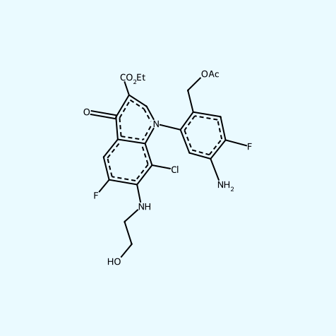 CCOC(=O)c1cn(-c2cc(N)c(F)cc2COC(C)=O)c2c(Cl)c(NCCO)c(F)cc2c1=O